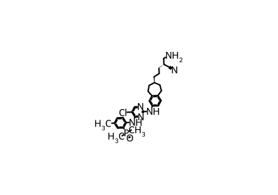 Cc1ccc(Nc2nc(Nc3ccc4c(c3)CC[C@@H](CCC[C@@H](C#N)CN)CC4)ncc2Cl)c(P(C)(C)=O)c1